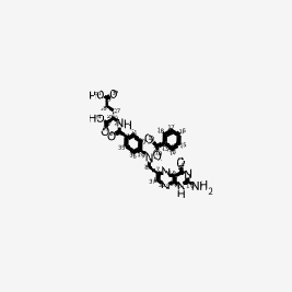 Nc1nc(=O)c2nc(CN(OC(=O)c3ccccc3)c3ccc(C(=O)N[C@@H](CCC(=O)O)C(=O)O)cc3)cnc2[nH]1